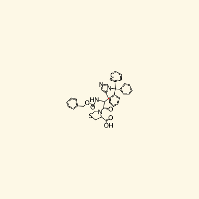 O=C(NC(Cc1cncn1C(c1ccccc1)(c1ccccc1)c1ccccc1)C(=O)N1CSCC1C(=O)O)OCc1ccccc1